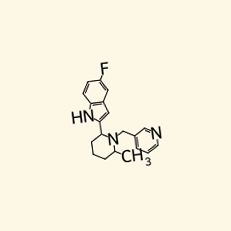 CC1CCCC(c2cc3cc(F)ccc3[nH]2)N1Cc1cccnc1